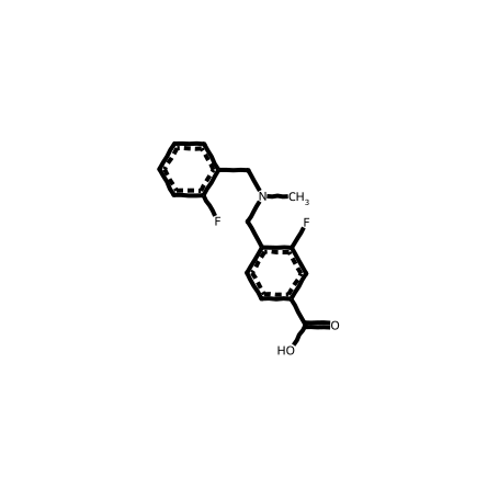 CN(Cc1ccccc1F)Cc1ccc(C(=O)O)cc1F